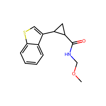 COCNC(=O)C1CC1c1csc2ccccc12